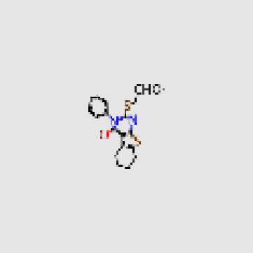 O=[C]CSc1nc2sc3c(c2c(=O)n1-c1ccccc1)CCCC3